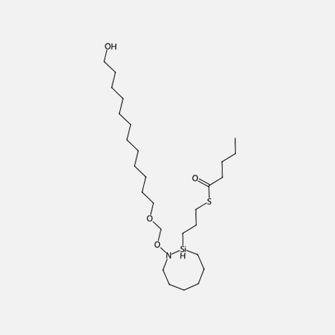 CCCCC(=O)SCCC[SiH]1CCCCCCN1OCOCCCCCCCCCCCCO